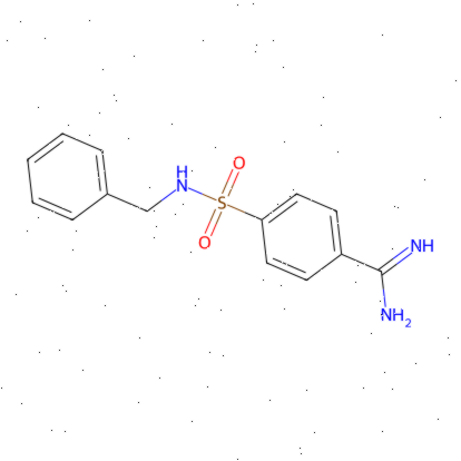 N=C(N)c1ccc(S(=O)(=O)NCc2ccccc2)cc1